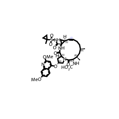 COc1ccc2c(O[C@@H]3C[C@H]4C(=O)N[C@]5(C(=O)NS(=O)(=O)C6(C)CC6)C[C@H]5/C=C\CC[C@@H](C)C[C@@H](C)[C@H](NC(=O)O)C(=O)N4C3)cc(OC)nc2c1